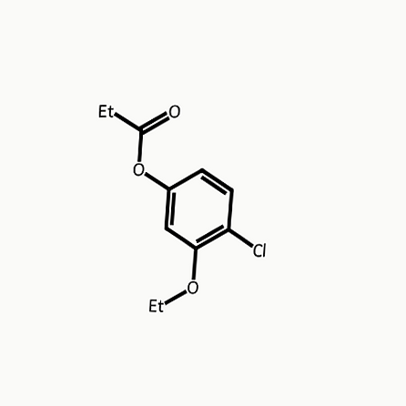 CCOc1cc(OC(=O)CC)ccc1Cl